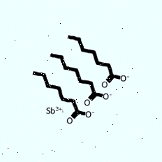 CCCCCCC(=O)[O-].CCCCCCC(=O)[O-].CCCCCCC(=O)[O-].[Sb+3]